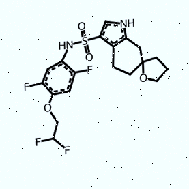 O=S(=O)(Nc1cc(F)c(OCC(F)F)cc1F)c1c[nH]c2c1CCC1(CCCO1)C2